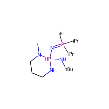 CC(C)P(=N[PH]1(NC(C)(C)C)NCCCN1C)(C(C)C)C(C)C